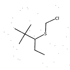 CCC(SCCl)C(C)(C)C